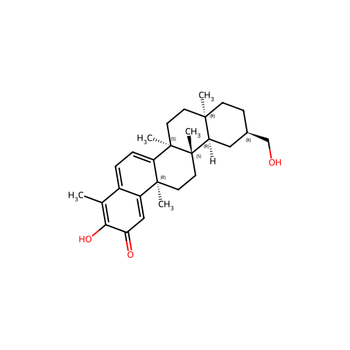 CC1=C(O)C(=O)C=C2C1=CC=C1[C@@]2(C)CC[C@@]2(C)[C@@H]3C[C@H](CO)CC[C@]3(C)CC[C@]12C